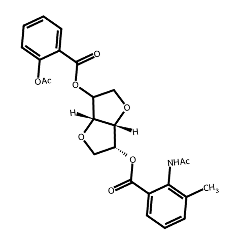 CC(=O)Nc1c(C)cccc1C(=O)O[C@@H]1CO[C@@H]2C(OC(=O)c3ccccc3OC(C)=O)CO[C@@H]21